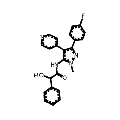 Cn1nc(-c2ccc(F)cc2)c(-c2ccncc2)c1NC(=O)C(O)c1ccccc1